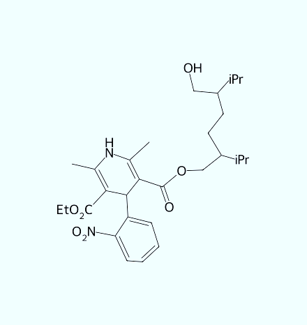 CCOC(=O)C1=C(C)NC(C)=C(C(=O)OCC(CCC(CO)C(C)C)C(C)C)C1c1ccccc1[N+](=O)[O-]